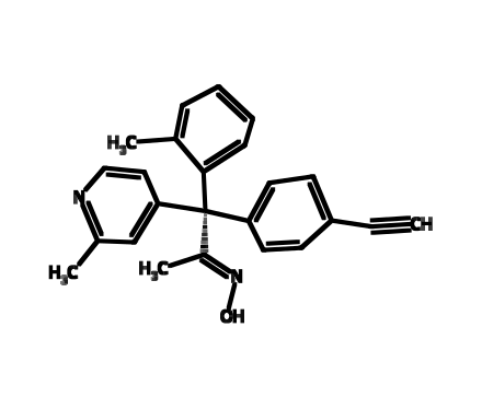 C#Cc1ccc([C@@](C(C)=NO)(c2ccnc(C)c2)c2ccccc2C)cc1